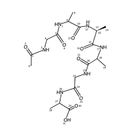 CC(=O)NCC(=O)NC(C)C(=O)N[C@@H](C)C(=O)NC(C)C(=O)NCC(=O)NC(C)C(=O)O